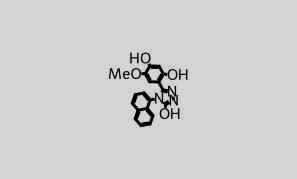 COc1cc(-c2nnc(O)n2-c2cccc3ccccc23)c(O)cc1O